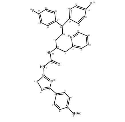 CC(=O)Nc1ccc(-c2nsc(NC(=O)NC(CCC(c3ccc(F)cc3)c3ccc(F)cc3)Cc3ccccn3)n2)cc1